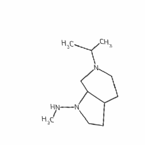 CNN1CCC2CCN(C(C)C)CC21